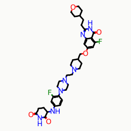 O=C1CCC(Nc2ccc(N3CCN(CCN4CCC(COc5cc(F)c6c(=O)[nH]c(CCC7CCOCC7)nc6c5)CC4)CC3)c(F)c2)C(=O)N1